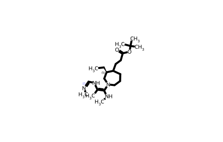 CC[C@@H]1CN(C(NC)=C(C)N/C=N\C)CCCC1CCC(=O)OC(C)(C)C